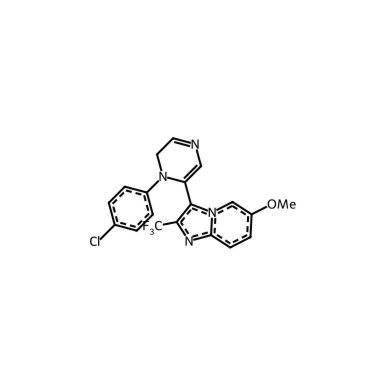 COc1ccc2nc(C(F)(F)F)c(C3=CN=CCN3c3ccc(Cl)cc3)n2c1